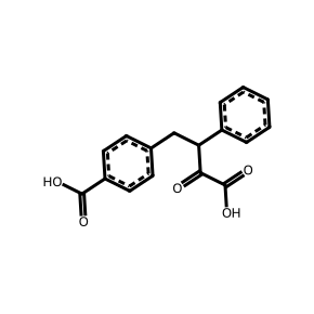 O=C(O)C(=O)C(Cc1ccc(C(=O)O)cc1)c1ccccc1